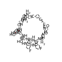 C=C1CNC(=O)[C@@H]2CCC(=O)N2CCCSCc2cccc(c2)CSCC(C(N)=O)NC(=O)[C@]2(C)CCCN2C(=O)[C@H](Cc2ccc(O)cc2)NC(=O)[C@H](Cc2c[nH]cn2)NC(=O)[C@H](CC(=O)O)NC(=O)[C@H](Cc2c[nH]c3ccc(F)cc23)NC(=O)[C@H](Cc2c[nH]c3ccc(F)cc23)N1